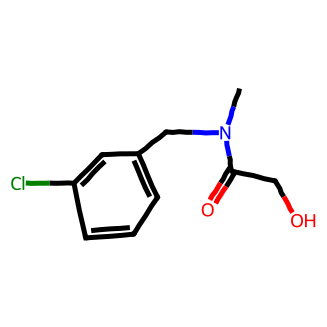 CN(Cc1cccc(Cl)c1)C(=O)CO